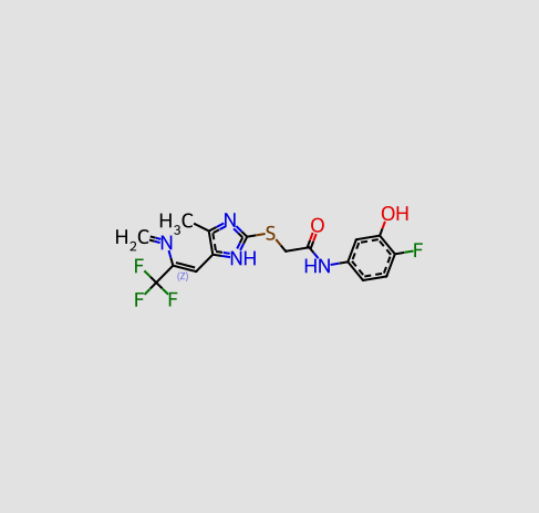 C=N/C(=C\c1[nH]c(SCC(=O)Nc2ccc(F)c(O)c2)nc1C)C(F)(F)F